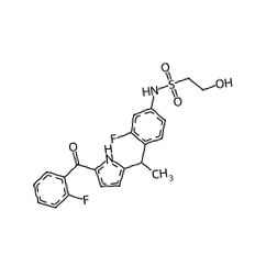 CC(c1ccc(C(=O)c2ccccc2F)[nH]1)c1ccc(NS(=O)(=O)CCO)cc1F